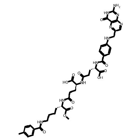 COC(=O)[C@H](CCCCNC(=O)c1ccc(C)cc1)NC(=O)CC[C@H](NC(=O)CC[C@H](NC(=O)c1ccc(NCc2cnc3nc(N)[nH]c(=O)c3n2)cc1)C(=O)O)C(=O)O